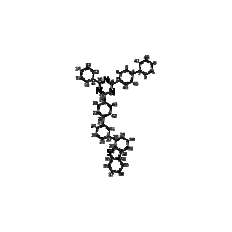 c1ccc(-c2ccc(-c3nc(-c4ccccc4)nc(-c4ccc(-c5cccc(-c6cccc7c6sc6ccccc67)c5)cc4)n3)cc2)cc1